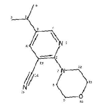 CC(C)c1cnc(N2CCOCC2)c(C#N)c1